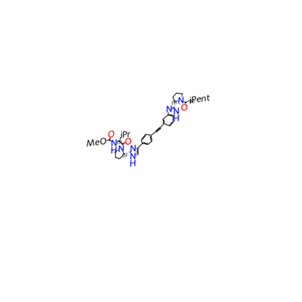 CCC[C@H](C)C(=O)N1CCC[C@H]1c1nc2cc(C#Cc3ccc(-c4c[nH]c([C@@H]5CCCN5C(=O)[C@@H](NC(=O)OC)C(C)C)n4)cc3)ccc2[nH]1